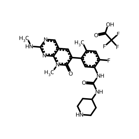 CNc1ncc2cc(-c3cc(NC(=O)NC4CCNCC4)c(F)cc3C)c(=O)n(C)c2n1.O=C(O)C(F)(F)F